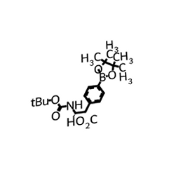 CC(C)(C)OC(=O)N[C@H](Cc1ccc(B2OC(C)(C)C(C)(C)O2)cc1)C(=O)O